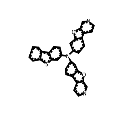 c1ccc2c(c1)sc1cc(N(c3ccc4c(c3)oc3cnccc34)c3ccc4c(c3)oc3cnccc34)ccc12